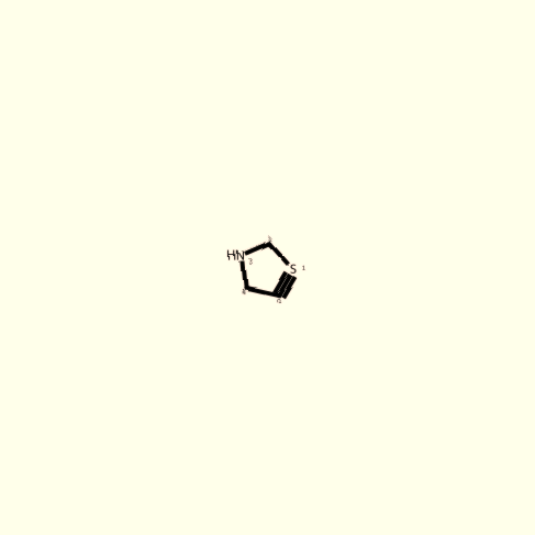 C1#S[CH]NC1